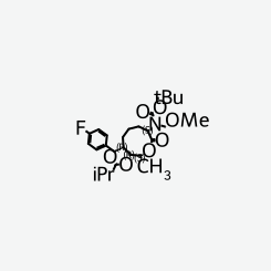 COCN(C(=O)OC(C)(C)C)[C@H]1CCC[C@H](Cc2ccc(F)cc2)[C@@H](OC(=O)C(C)C)[C@H](C)OC1=O